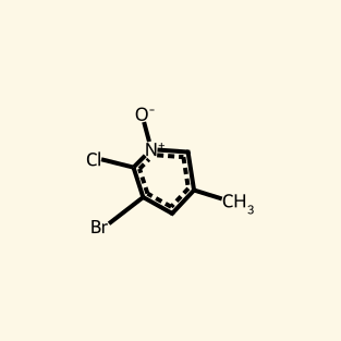 Cc1cc(Br)c(Cl)[n+]([O-])c1